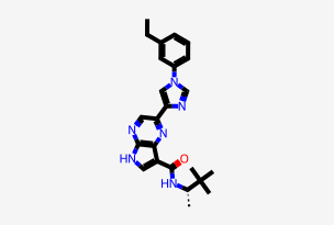 CCc1cccc(-n2cnc(-c3cnc4[nH]cc(C(=O)N[C@@H](C)C(C)(C)C)c4n3)c2)c1